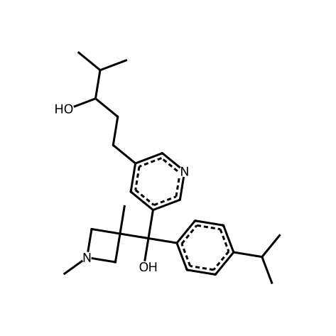 CC(C)c1ccc(C(O)(c2cncc(CCC(O)C(C)C)c2)C2(C)CN(C)C2)cc1